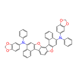 c1ccc(N(c2ccc3c(c2)OCO3)c2cc3oc4c(ccc5oc6cc(N(c7ccccc7)c7ccc8c(c7)OCO8)c7ccccc7c6c54)c3c3ccccc23)cc1